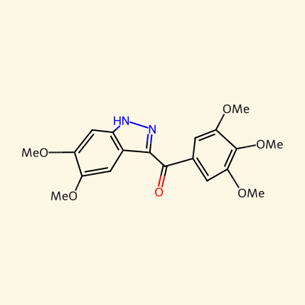 COc1cc2[nH]nc(C(=O)c3cc(OC)c(OC)c(OC)c3)c2cc1OC